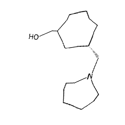 OC1CCC[C@H](CN2CCCC2)C1